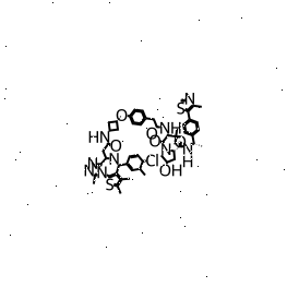 Cc1ncsc1-c1ccc([C@H](C)NC(=O)[C@@H]2C[C@@H](O)CN2C(=O)[C@@H](NC(=O)Cc2ccc(O[C@H]3C[C@@H](NC(=O)CC4N=C(C5=CC(C)C(Cl)C=C5)c5c(sc(C)c5C)-n5c(C)nnc54)C3)cc2)C(C)(C)C)cc1